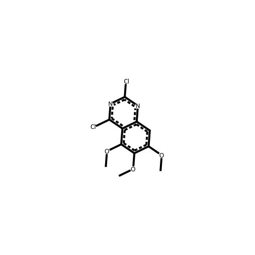 COc1cc2nc(Cl)nc(Cl)c2c(OC)c1OC